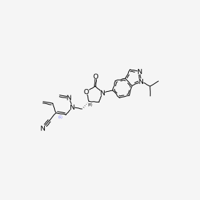 C=C/C(C#N)=C\N(C[C@H]1CN(c2ccc3c(cnn3C(C)C)c2)C(=O)O1)N=C